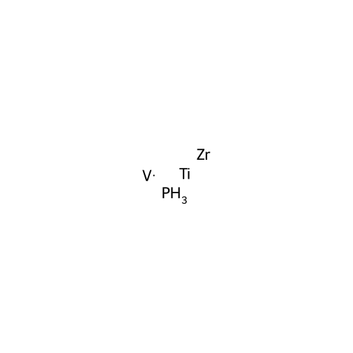 P.[Ti].[V].[Zr]